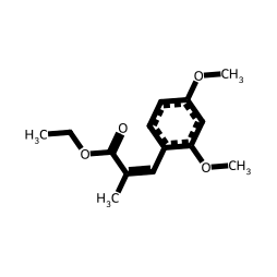 CCOC(=O)C(C)=Cc1ccc(OC)cc1OC